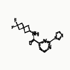 O=C(NC1CC2(C1)CC(F)(F)C2)c1ccnc(-n2ccnc2)n1